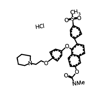 CNC(=O)Oc1ccc2c(Oc3ccc(OCCN4CCCCC4)cc3)c(-c3ccc(S(C)(=O)=O)cc3)ccc2c1.Cl